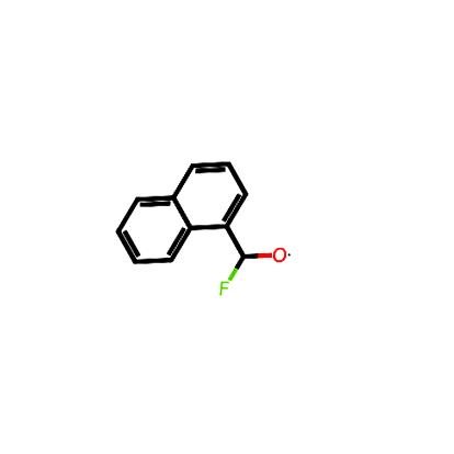 [O]C(F)c1cccc2ccccc12